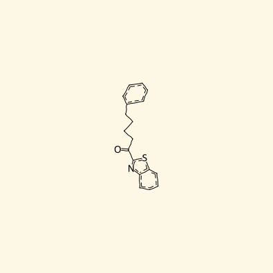 O=C(CCCCc1ccccc1)c1nc2ccccc2s1